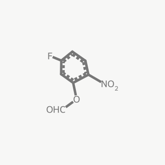 O=COc1cc(F)ccc1[N+](=O)[O-]